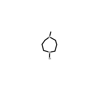 C[CH2][Al]1[CH2]CCN(C)CC[CH2]1